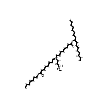 CCCCCCCCC(CCCCCCCC)OC(=O)CCCCCCCN(CCCCCCCC(=O)OCCCCCCC)CCNOC